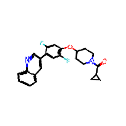 O=C(C1CC1)N1CCC(Oc2cc(F)c(-c3cnc4ccccc4c3)cc2F)CC1